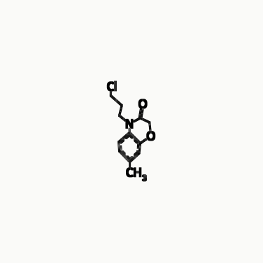 Cc1ccc2c(c1)OCC(=O)N2CCCCl